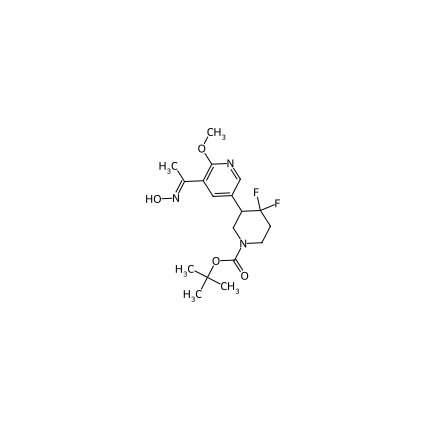 COc1ncc(C2CN(C(=O)OC(C)(C)C)CCC2(F)F)cc1C(C)=NO